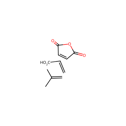 C=C(C)C.C=CC(=O)O.O=C1C=CC(=O)O1